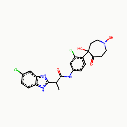 CC(C(=O)Nc1ccc(C2(O)CCN(O)CCC2=O)c(Cl)c1)c1nc2cc(Cl)ccc2[nH]1